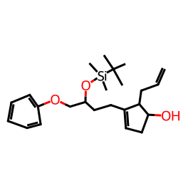 C=CCC1C(CCC(COc2ccccc2)O[Si](C)(C)C(C)(C)C)=CCC1O